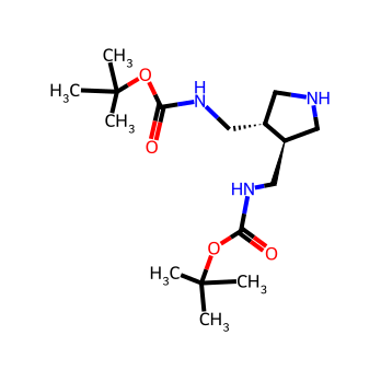 CC(C)(C)OC(=O)NC[C@@H]1CNC[C@H]1CNC(=O)OC(C)(C)C